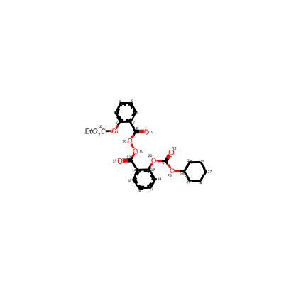 CCOC(=O)Oc1ccccc1C(=O)OOC(=O)c1ccccc1OC(=O)OC1CCCCC1